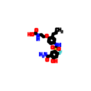 C=CCc1cc(NS(=O)(=O)c2cc(C(N)=O)c(O)cc2F)ccc1OCCNC(=O)O